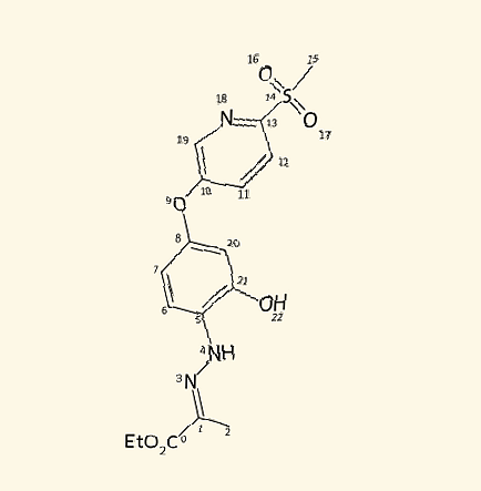 CCOC(=O)/C(C)=N/Nc1ccc(Oc2ccc(S(C)(=O)=O)nc2)cc1O